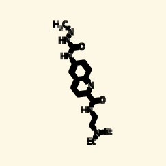 C=NNC(=O)Nc1ccc2nc(C(=O)NCCN(CC)CC)ccc2c1